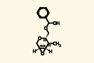 C[C@H]1[C@H]2O[C@H]2CO[C@@H]1COC(O)c1ccccc1